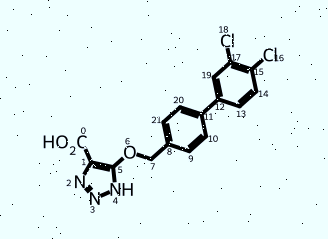 O=C(O)c1nn[nH]c1OCc1ccc(-c2ccc(Cl)c(Cl)c2)cc1